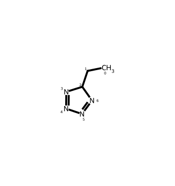 CCC1N=NN=N1